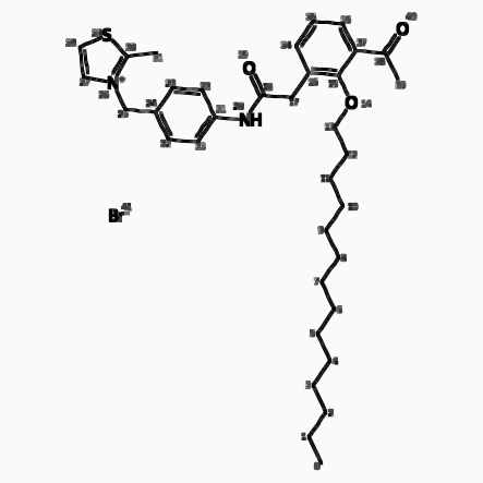 CCCCCCCCCCCCCCOc1c(CC(=O)Nc2ccc(C[n+]3ccsc3C)cc2)cccc1C(C)=O.[Br-]